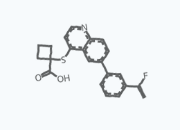 C=C(F)c1cccc(-c2ccc3nccc(SC4(C(=O)O)CCC4)c3c2)c1